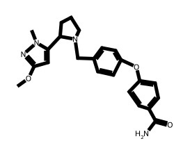 COc1cc(C2CCCN2Cc2ccc(Oc3ccc(C(N)=O)cc3)cc2)n(C)n1